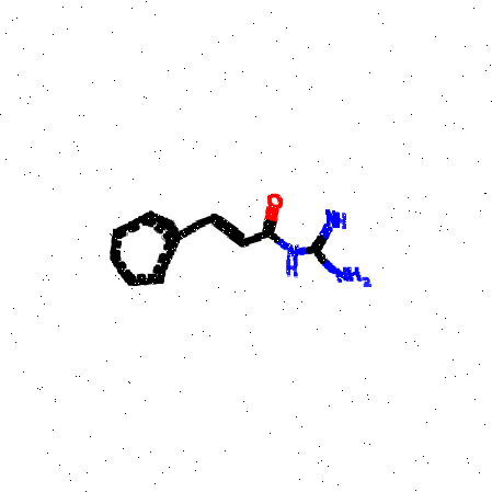 N=C(N)NC(=O)C=Cc1ccccc1